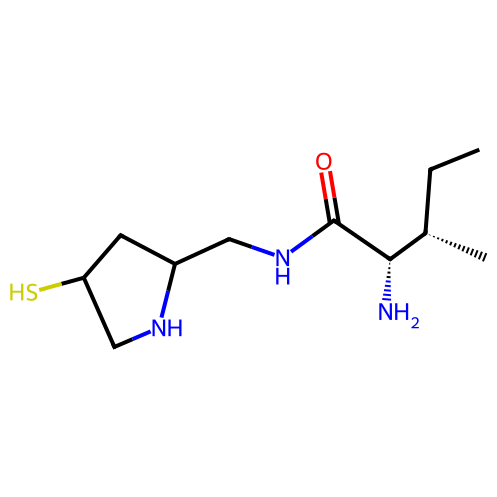 CC[C@H](C)[C@H](N)C(=O)NCC1CC(S)CN1